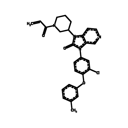 C=CC(=O)N1CCCC(n2c(=O)n(-c3ccc(Oc4cccc(C)c4)c(Cl)c3)c3cnccc32)C1